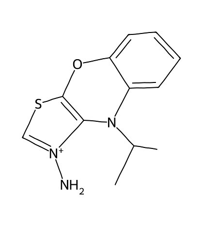 CC(C)N1c2ccccc2Oc2sc[n+](N)c21